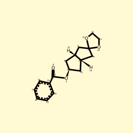 O=C(O[C@H]1C[C@@H]2CC3(C[C@@H]2C1)OCCO3)c1ccccc1